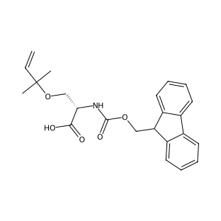 C=CC(C)(C)OC[C@H](NC(=O)OCC1c2ccccc2-c2ccccc21)C(=O)O